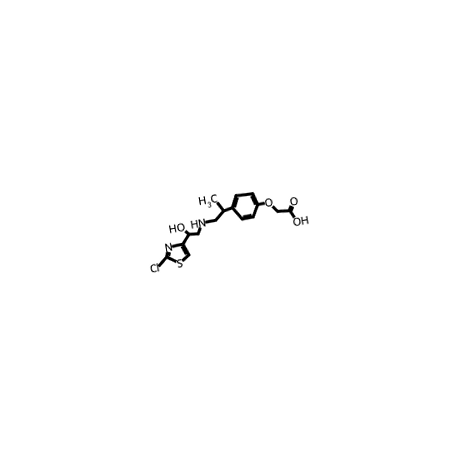 CC(CNCC(O)c1csc(Cl)n1)c1ccc(OCC(=O)O)cc1